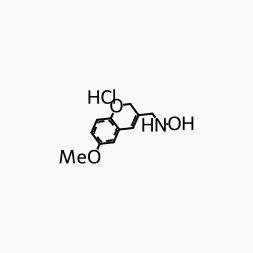 COc1ccc2c(c1)C=C(CNO)CO2.Cl